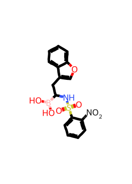 O=[N+]([O-])c1ccccc1S(=O)(=O)NC(Cc1coc2ccccc12)B(O)O